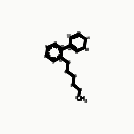 CCCCCCc1ccccc1C1=CCCC=C1